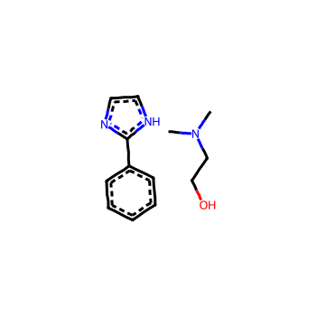 CN(C)CCO.c1ccc(-c2ncc[nH]2)cc1